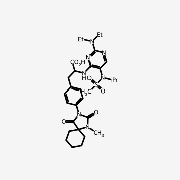 CCN(CC)c1ncc(N(C(C)C)S(C)(=O)=O)c(NC(Cc2ccc(N3C(=O)N(C)C4(CCCCC4)C3=O)cc2)C(=O)O)n1